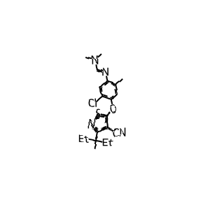 CCC(C)(CC)c1nsc(Oc2cc(C)c(N=CN(C)C)cc2Cl)c1C#N